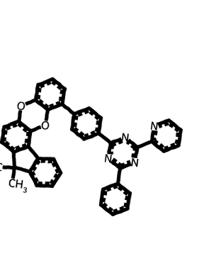 CC1(C)c2ccccc2-c2c1ccc1c2Oc2c(cccc2-c2ccc(-c3nc(-c4ccccc4)nc(-c4ccccn4)n3)cc2)O1